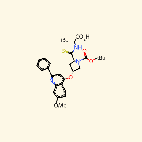 CC[C@H](C)C(NC(=S)[C@@H]1C[C@@H](Oc2cc(-c3ccccc3)nc3cc(OC)ccc23)CN1C(=O)OC(C)(C)C)C(=O)O